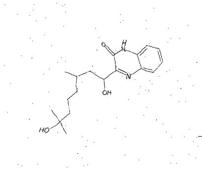 CC(CCCC(C)(C)O)CC(O)c1nc2ccccc2[nH]c1=O